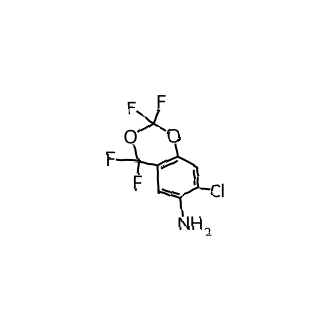 Nc1cc2c(cc1Cl)OC(F)(F)OC2(F)F